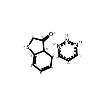 O=C1CSC2=CC=CCC12.c1cnnnc1